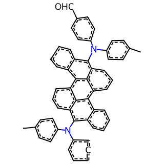 Cc1ccc(N(c2ccccc2)c2c3ccccc3c3c4cccc5c(N(c6ccc(C)cc6)c6ccc(C=O)cc6)c6ccccc6c(c6cccc2c63)c54)cc1